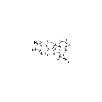 CC(C)[C@H](C)[C@@H](C)c1ccc(-c2ccccc2)c(/C=C/S(C)(=O)=O)c1